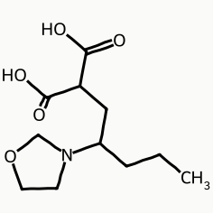 CCCC(CC(C(=O)O)C(=O)O)N1CCOC1